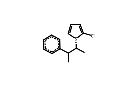 [CH2]C(C(C)c1ccccc1)[SH]1C=CC=C1Cl